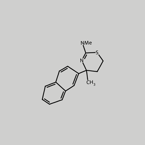 CNC1=NC(C)(c2ccc3ccccc3c2)CCS1